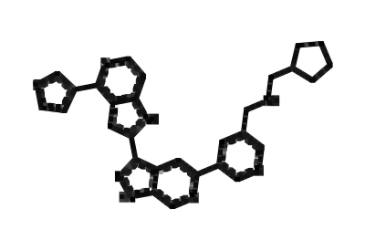 c1cc2[nH]c(-c3n[nH]c4cnc(-c5cncc(CNCC6CCCC6)c5)cc34)cc2c(-c2ccsc2)n1